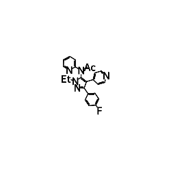 CCn1nc(-c2ccc(F)cc2)c(-c2ccncc2)c1N(C(C)=O)c1ccccn1